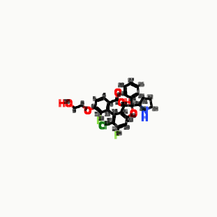 O=C(O)c1ccc(OCCO)c(F)c1-c1c(Cl)c(F)cc2c1CC(c1ccccc1)(C1CCCN1)O2